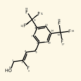 OCC(F)=CCc1cc(C(F)(F)F)cc(C(F)(F)F)c1